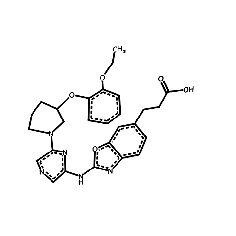 CCOc1ccccc1OC1CCCN(c2cncc(Nc3nc4ccc(CCC(=O)O)cc4o3)n2)C1